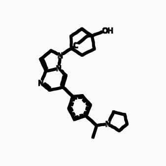 CC(c1ccc(C2=CN3C(=CCN3C34CCC(O)(CC3)CC4)N=C2)cc1)N1CCCC1